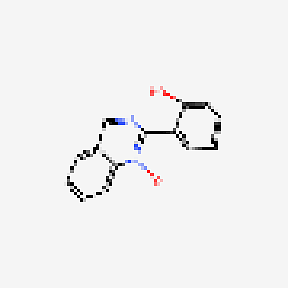 [O-][n+]1c(-c2ccccc2O)ncc2ccccc21